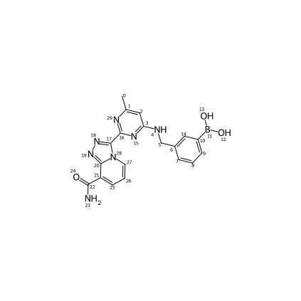 Cc1cc(NCc2cccc(B(O)O)c2)nc(-c2nnc3c(C(N)=O)cccn23)n1